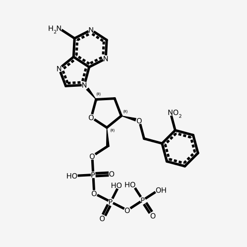 Nc1ncnc2c1ncn2[C@H]1C[C@@H](OCc2ccccc2[N+](=O)[O-])[C@@H](COP(=O)(O)OP(=O)(O)OP(=O)(O)O)O1